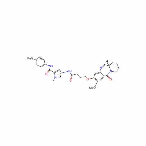 CNc1ccc(NC(=O)c2cc(NC(=O)CCCOc3cc4c(cc3OC)C(=O)N3CCCC[C@H]3C=N4)cn2C)cc1